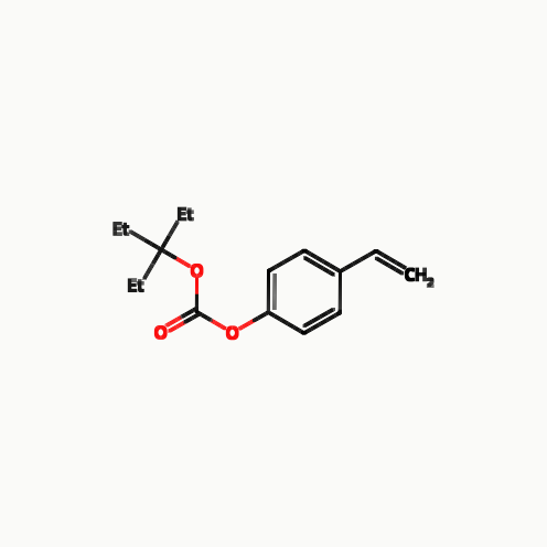 C=Cc1ccc(OC(=O)OC(CC)(CC)CC)cc1